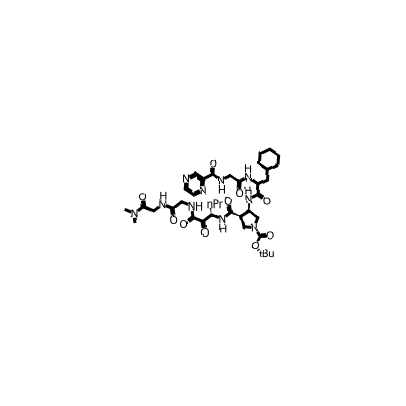 CCC[C@H](NC(=O)[C@@H]1CN(C(=O)OC(C)(C)C)C[C@@H]1NC(=O)C(CC1CCCCC1)NC(=O)CNC(=O)c1cnccn1)C(=O)C(=O)NCC(=O)NCC(=O)N(C)C